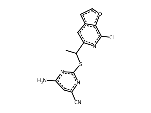 CC(Sc1nc(N)cc(C#N)n1)c1cc2ccoc2c(Cl)n1